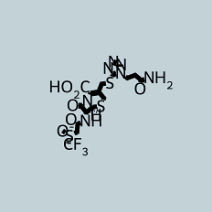 NC(=O)CCn1nnnc1SCC1=C(C(=O)O)N2C(=O)C(NC(=O)C[S+]([O-])C(F)(F)F)[C@H]2SC1